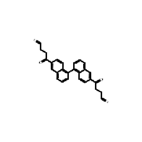 O=CCCC(=O)c1ccc2c(-c3cccc4cc(C(=O)CCC=O)ccc34)cccc2c1